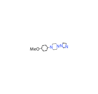 COc1ccc(N2CCN(n3ccnc3)CC2)cc1